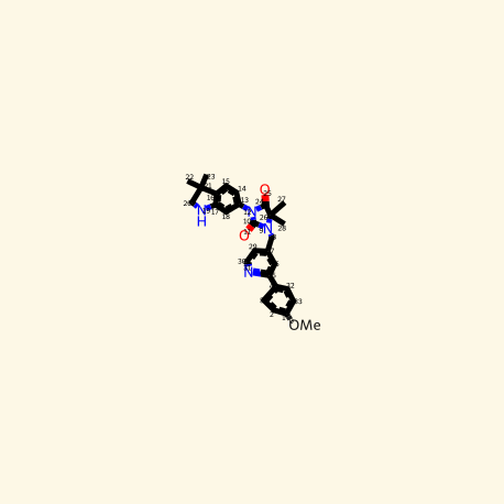 COc1ccc(-c2cc(CN3C(=O)N(c4ccc5c(c4)NCC5(C)C)C(=O)C3(C)C)ccn2)cc1